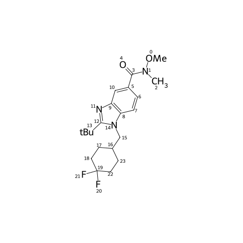 CON(C)C(=O)c1ccc2c(c1)nc(C(C)(C)C)n2CC1CCC(F)(F)CC1